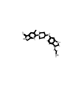 Cc1cc2c(nc1N1CCC(Oc3ccc4c(c3)OC[C@H]4CCO)CC1)CNC2=O